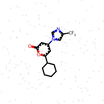 O=c1cc(-n2cnc(C(F)(F)F)c2)cc(C2CCCCC2)o1